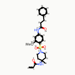 C=CC(=O)NC1(C)CCN(S(=O)(=O)c2ccc(NC(=O)CCc3ccccc3)cc2OC)CC1